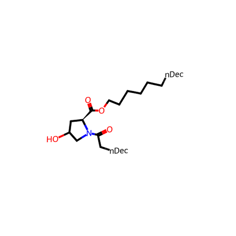 CCCCCCCCCCCCCCCCOC(=O)[C@@H]1CC(O)CN1C(=O)CCCCCCCCCCC